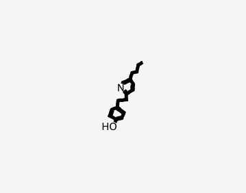 CCCCc1ccc(CCc2ccc(O)cc2)nc1